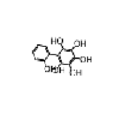 Oc1ccccc1-c1c(O)c(O)c(O)c(O)c1O